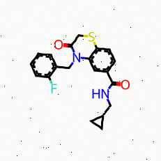 O=C(NCC1CC1)c1ccc2c(c1)N(Cc1ccccc1F)C(=O)CS2